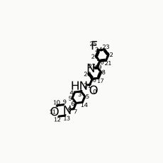 O=C(NC1CCC(CN2CCOCC2)CC1)c1ccc(-c2cccc(F)c2)nc1